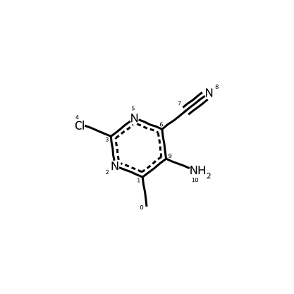 Cc1nc(Cl)nc(C#N)c1N